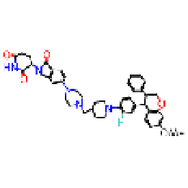 COc1ccc2c(c1)OCC(c1ccccc1)C2c1ccc(N2CCC(CN3CCN(c4ccc5c(c4)CN(C4CCC(=O)NC4=O)C5=O)CC3)CC2)c(F)c1